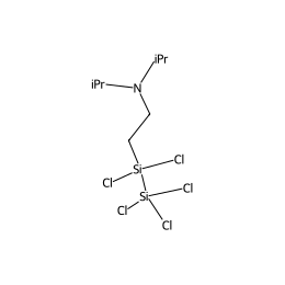 CC(C)N(CC[Si](Cl)(Cl)[Si](Cl)(Cl)Cl)C(C)C